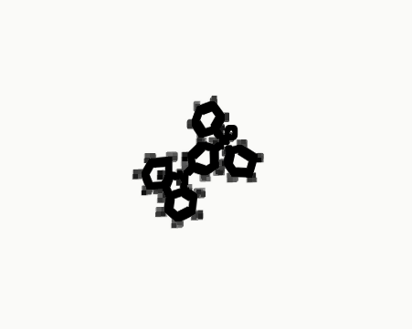 O=P(c1ccccc1)(c1ccccc1)c1ccc(-n2c3c(c4ccccc42)CCC=C3)cc1